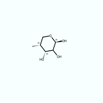 C[C@@H]1CO[C@@H](O)C(O)[C@@H]1O